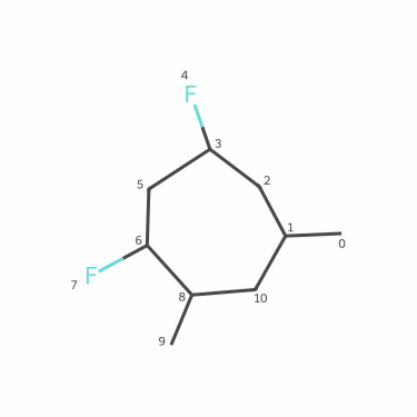 CC1CC(F)CC(F)C(C)C1